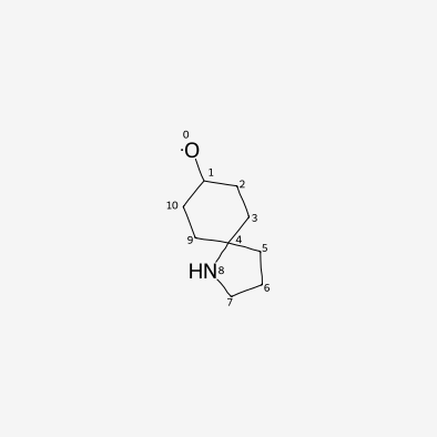 [O]C1CCC2(CCCN2)CC1